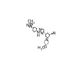 COC1CCN(c2cc(C#N)cc(-c3ccnc(Nc4ccc(-n5cnc(C)n5)cc4)n3)c2)CC1